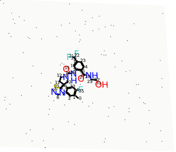 Cc1ccc([C@]2(c3ncns3)CCN(C(=O)Nc3cc(C(F)F)ccc3C(=O)NCCO)C2)cc1F